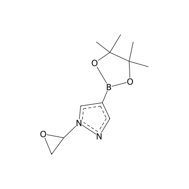 CC1(C)OB(c2cnn(C3CO3)c2)OC1(C)C